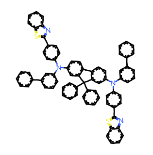 c1ccc(-c2cccc(N(c3ccc(-c4nc5ccccc5s4)cc3)c3ccc4c(c3)C(c3ccccc3)(c3ccccc3)c3cc(N(c5ccc(-c6nc7ccccc7s6)cc5)c5cccc(-c6ccccc6)c5)ccc3-4)c2)cc1